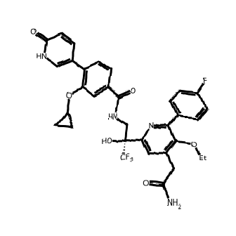 CCOc1c(CC(N)=O)cc([C@@](O)(CNC(=O)c2ccc(-c3ccc(=O)[nH]c3)c(OC3CC3)c2)C(F)(F)F)nc1-c1ccc(F)cc1